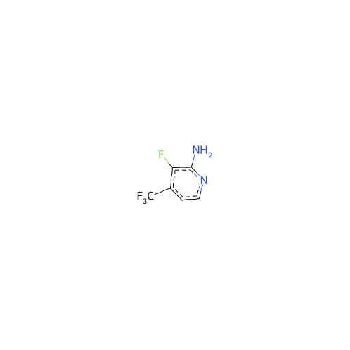 Nc1nccc(C(F)(F)F)c1F